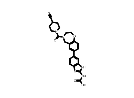 N#CC1CCN(C(=O)N2CCOc3ccc(-c4ccc5nc(NC(=O)O)[nH]c5c4)cc3C2)CC1